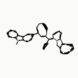 C#C/C(C1=CC(c2ccc3c(c2)c2ccccc2n3C)=CCC#C1)=C1/C=CC=C2c3ccccc3CN21